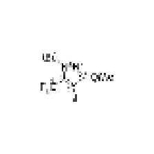 COc1nn(C(C)(C)C)c(C(F)(F)F)c1I